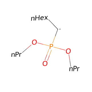 CCCCCC[CH]P(=O)(OCCC)OCCC